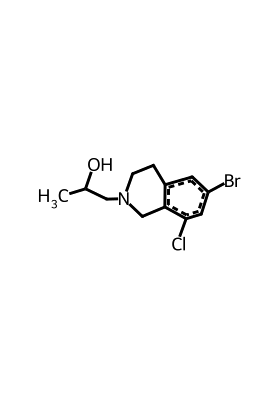 CC(O)CN1CCc2cc(Br)cc(Cl)c2C1